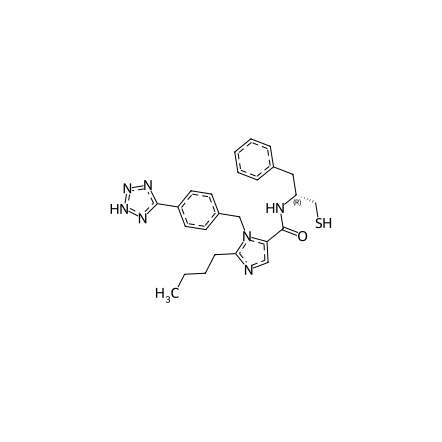 CCCCc1ncc(C(=O)N[C@@H](CS)Cc2ccccc2)n1Cc1ccc(-c2nn[nH]n2)cc1